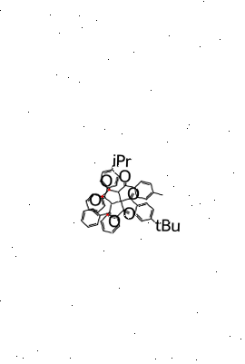 Cc1ccc(C(=O)C(C(=O)c2ccccc2)C(C(=O)c2ccccc2)(C(=O)c2ccc(C(C)(C)C)cc2)C(C(=O)c2ccccc2)C(=O)c2ccc(C(C)C)cc2)cc1